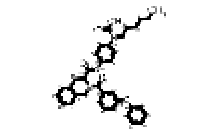 CCCCCCN(C(C)=O)c1ccc(NC(=O)C2Cc3ccccc3CN2C(=O)c2cccc(Oc3ccccc3)c2)cc1